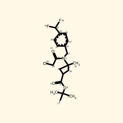 CC(C)(I)OC(=O)C1CC(C)(N(Cc2ccc(C(F)F)cc2)C(=O)CCl)C1